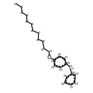 CCCCCCCCCCCCOc1ccc([I+]c2ccccc2)cc1